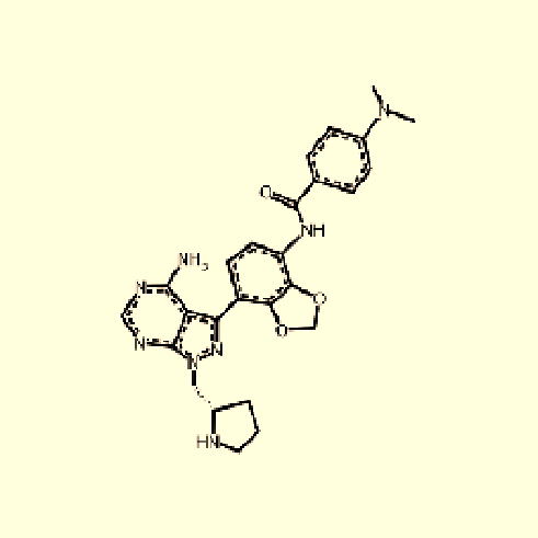 CN(C)c1ccc(C(=O)Nc2ccc(-c3nn(C[C@@H]4CCCN4)c4ncnc(N)c34)c3c2OCO3)cc1